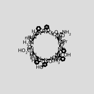 CCCC[C@@H]1NC(=O)[C@H](Cc2ccccc2)N(C)C(=O)[C@H](Cc2ccccc2)NC(=O)CSC[C@@H](C(=O)NCC(N)=O)NC(=O)[C@H](CC(C)C)NC(=O)[C@H](Cc2ccc(O)cc2)NC(=O)[C@H](Cc2c[nH]c3ccccc23)NC(=O)CN(C)C(=O)[C@H](Cc2ccc(O)cc2)NC(=O)[C@H](Cc2ccccc2)N(C)C(=O)[C@H](C(C)C)NC(=O)[C@H](CC(=O)O)NC(=O)CN(C)C1=O